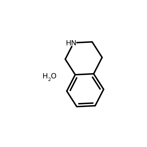 O.c1ccc2c(c1)CCNC2